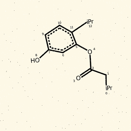 CC(C)CC(=O)Oc1cc(O)ccc1C(C)C